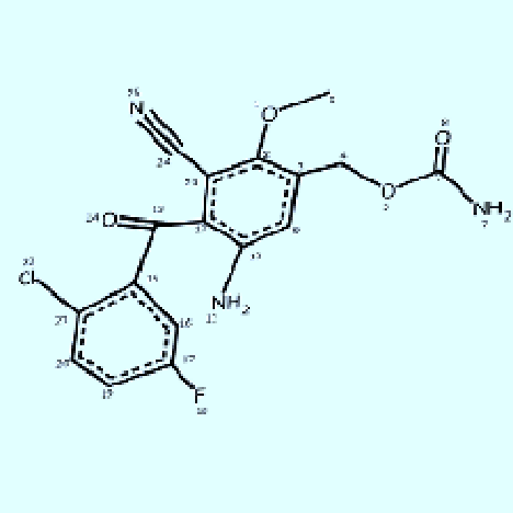 COc1c(COC(N)=O)cc(N)c(C(=O)c2cc(F)ccc2Cl)c1C#N